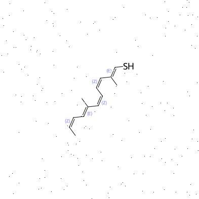 C\C=C/C=C(C)/C=C\C=C/C(C)=C/S